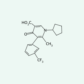 Cc1c(-c2cccc(C(F)(F)F)c2)c(=O)c(C(=O)O)cn1C1CCCC1